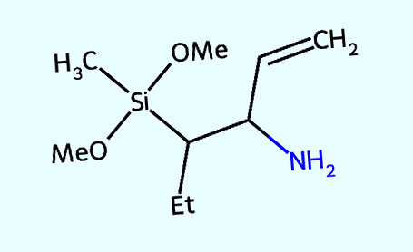 C=CC(N)C(CC)[Si](C)(OC)OC